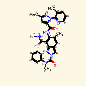 COc1cc(C(=O)Nc2c(C)cc3cn(C(=O)N(C)c4ccccc4)nc3c2C(=O)NC(C)C)n(-c2ncccc2C)n1